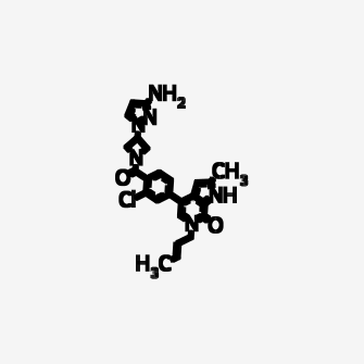 CC=CCn1cc(-c2ccc(C(=O)N3CC(n4ccc(N)n4)C3)c(Cl)c2)c2cc(C)[nH]c2c1=O